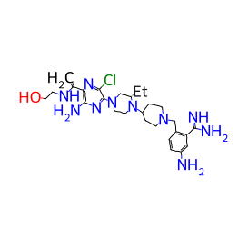 C=C(NCCO)c1nc(Cl)c(N2CCN(C3CCN(Cc4ccc(N)cc4C(=N)N)CC3)[C@@H](CC)C2)nc1N